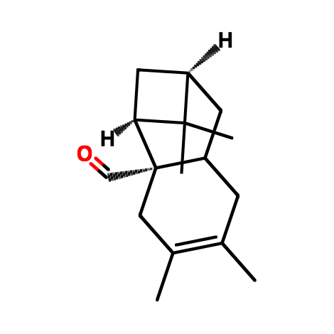 CC1=C(C)C[C@]2(C=O)C(C1)C[C@@H]1C[C@H]2C1(C)C